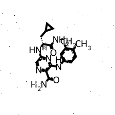 Cc1ccc(Nc2nc(N[C@H](CC3CC3)C(N)=O)cnc2C(N)=O)cc1C